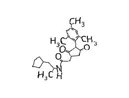 Cc1cc(C)c(C2C(=O)CC(CC(=O)NC(C)CC3CCCC3)C2=O)c(C)c1